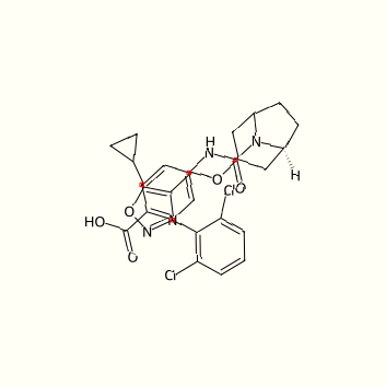 O=C(O)c1ccc(NC(=O)N2C3CC[C@H]2CC(OCc2c(-c4c(Cl)cccc4Cl)noc2C2CC2)C3)cn1